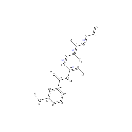 C=C/C=N/C(C)=C(F)/C=N\C(=C\C)OC(=O)c1cccc(OC)c1